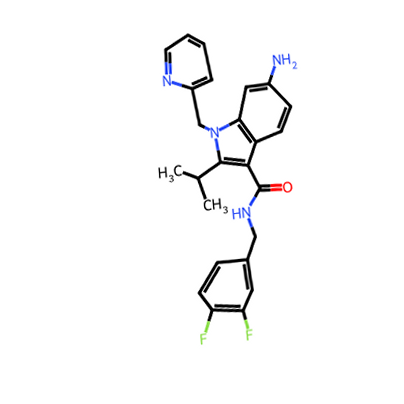 CC(C)c1c(C(=O)NCc2ccc(F)c(F)c2)c2ccc(N)cc2n1Cc1ccccn1